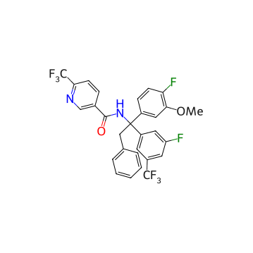 COc1cc(C(Cc2ccccc2)(NC(=O)c2ccc(C(F)(F)F)nc2)c2cc(F)cc(C(F)(F)F)c2)ccc1F